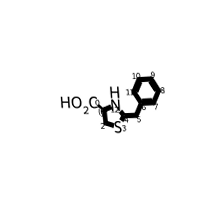 O=C(O)[C@@H]1CSC(Cc2ccccc2)N1